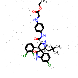 CCOC(=O)CNc1ccc(NC(=O)[C@@H]2N[C@@H](CC(C)(C)C)C3(C(=O)Nc4cc(Cl)ccc43)[C@H]2c2cccc(Cl)c2F)cc1